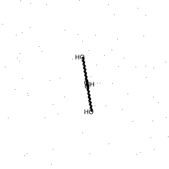 OCCCCCCCCCCCCCONOCCCCCCCCCCCCCO